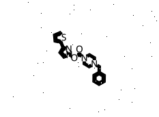 O=C(On1ccc(-c2cccs2)n1)N1CCN(Cc2ccccc2)CC1